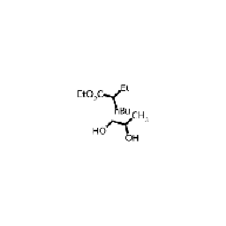 CC(O)CO.CCCCC(CC)C(=O)OCC